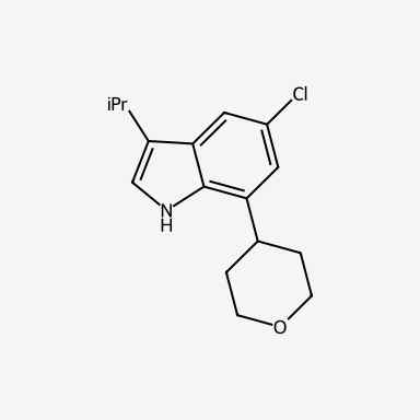 CC(C)c1c[nH]c2c(C3CCOCC3)cc(Cl)cc12